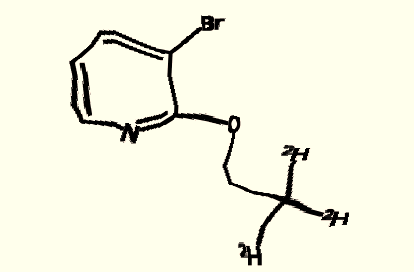 [2H]C([2H])([2H])COc1ncccc1Br